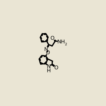 NC(=O)C/C(=N\Oc1cccc2c1CC(=O)N2)c1ccccc1